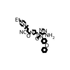 CCN1CCN(C(C)(C)C=C(C#N)C(=O)N2CCC(n3c(=O)n(-c4ccc(Oc5ccccc5)cc4)c4c(N)ncnc43)C2)CC1